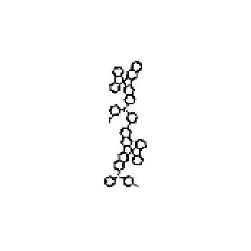 Fc1ccc(N(c2ccccc2)c2ccc3cc4c(cc3c2)C2(c3ccccc3-c3ccccc32)c2cc3cc(-c5cccc(N(c6cccc(F)c6)c6ccc7cc8c(cc7c6)C6(c7ccccc7-c7ccccc76)c6cc7ccccc7cc6-8)c5)ccc3cc2-4)cc1